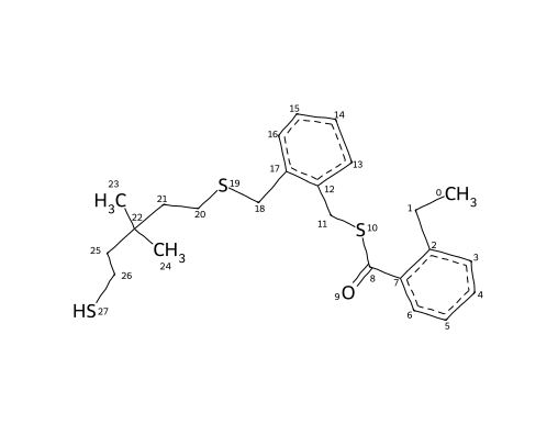 CCc1ccccc1C(=O)SCc1ccccc1CSCCC(C)(C)CCS